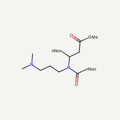 CCCCCCCCCC(=O)N(CCCN(C)C)C(CCCCCCCCC)CC(=O)OC